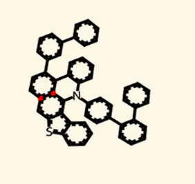 c1ccc(-c2cccc(-c3ccccc3-c3ccccc3N(c3ccc(-c4ccccc4-c4ccccc4)cc3)c3cccc4sc5ccccc5c34)c2)cc1